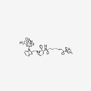 CN(C)C(=O)/C=C/CCCC(=O)Nc1cccn(Cc2cc3ccccc3n2C(=O)OC(C)(C)C)c1=O